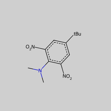 CN(C)c1c([N+](=O)[O-])cc(C(C)(C)C)cc1[N+](=O)[O-]